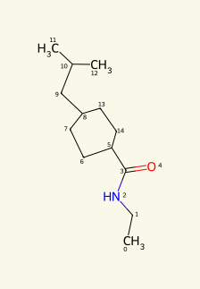 CCNC(=O)C1CCC(CC(C)C)CC1